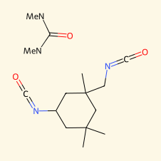 CC1(C)CC(N=C=O)CC(C)(CN=C=O)C1.CNC(=O)NC